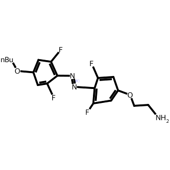 CCCCOc1cc(F)c(/N=N/c2c(F)cc(OCCN)cc2F)c(F)c1